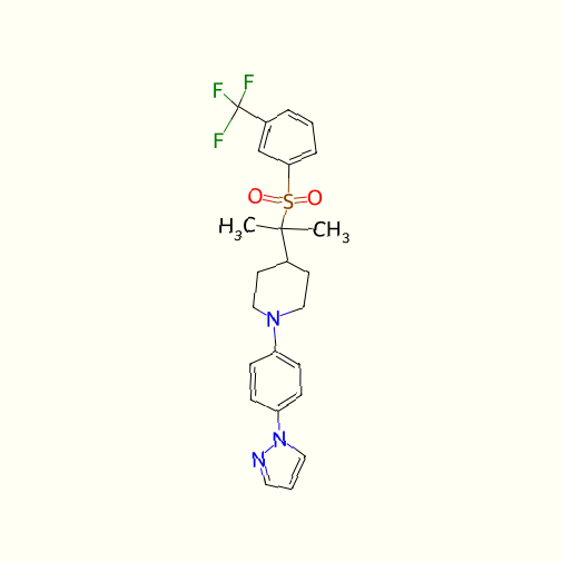 CC(C)(C1CCN(c2ccc(-n3cccn3)cc2)CC1)S(=O)(=O)c1cccc(C(F)(F)F)c1